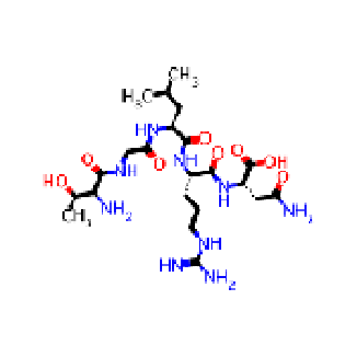 CC(C)C[C@H](NC(=O)CNC(=O)[C@@H](N)[C@@H](C)O)C(=O)N[C@@H](CCCNC(=N)N)C(=O)N[C@@H](CC(N)=O)C(=O)O